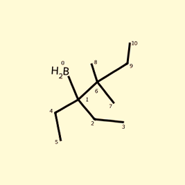 BC(CC)(CC)C(C)(C)CC